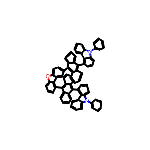 c1ccc(-n2c3ccccc3c3c(-c4c5ccccc5c(-c5ccc6oc7cccc(-c8c9ccccc9c(-c9cccc%10c9c9ccccc9n%10-c9ccccc9)c9ccccc89)c7c6c5)c5ccccc45)cccc32)cc1